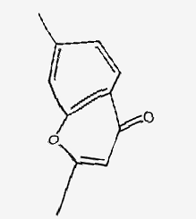 Cc1ccc2c(=O)cc(C)oc2c1